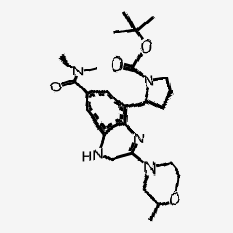 CC1CN(C2=Nc3c(cc(C(=O)N(C)C)cc3C3CCCN3C(=O)OC(C)(C)C)NC2)CCO1